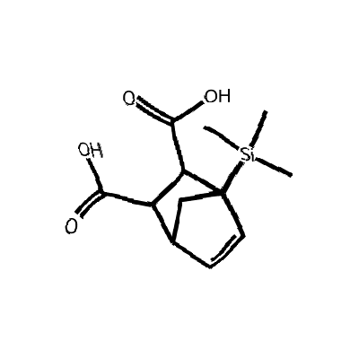 C[Si](C)(C)C12C=CC(C1)C(C(=O)O)C2C(=O)O